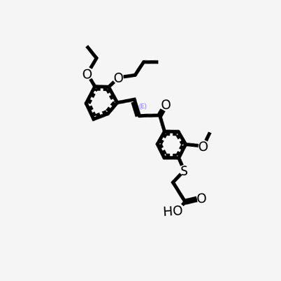 CCCOc1c(/C=C/C(=O)c2ccc(SCC(=O)O)c(OC)c2)cccc1OCC